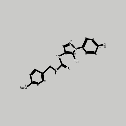 COc1ccc(CNC(=O)Oc2cnn(-c3ccc(Cl)cc3)c2C(F)(F)F)cc1